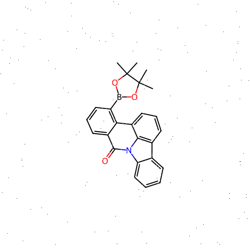 CC1(C)OB(c2cccc3c(=O)n4c5ccccc5c5cccc(c23)c54)OC1(C)C